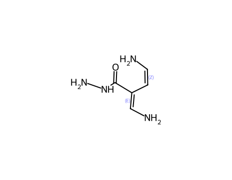 N/C=C\C(=C/N)C(=O)NN